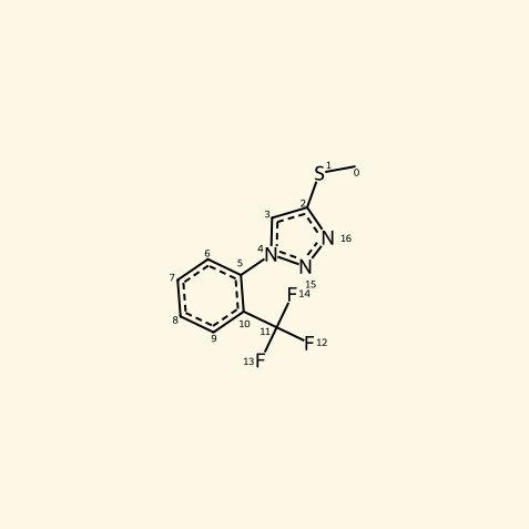 CSc1cn(-c2ccccc2C(F)(F)F)nn1